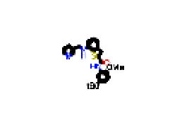 COc1ccc(C(C)(C)C)cc1NC(=O)c1cc2cccc(NCc3cccnc3)c2s1